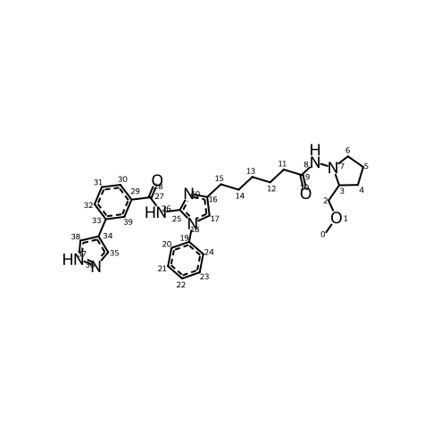 COCC1CCCN1NC(=O)CCCCCc1cn(-c2ccccc2)c(NC(=O)c2cccc(-c3cn[nH]c3)c2)n1